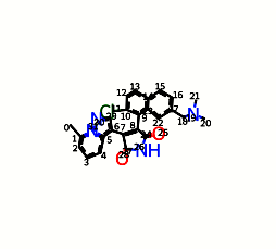 Cc1cccc2c(C3=C(c4c(Cl)ccc5ccc(CN(C)C)cc45)C(=O)NC3=O)cnn12